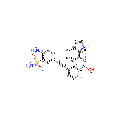 Nc1ccc(C#Cc2cccc(C(=O)O)c2-c2ccc3cc[nH]c3c2)cc1S(N)(=O)=O